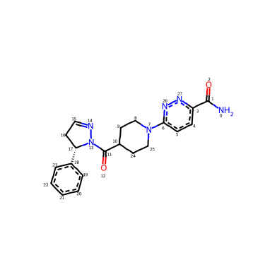 NC(=O)c1ccc(N2CCC(C(=O)N3N=CC[C@H]3c3ccccc3)CC2)nn1